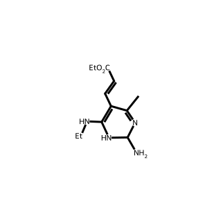 CCNC1=C(/C=C/C(=O)OCC)C(C)=NC(N)N1